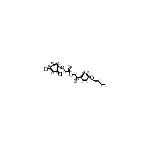 CCCCOc1ccc(C(=O)COC(=O)COc2ccc(Cl)cc2Cl)cc1